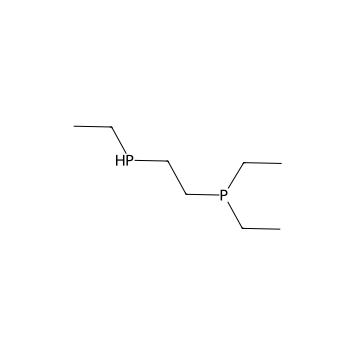 CCPCCP(CC)CC